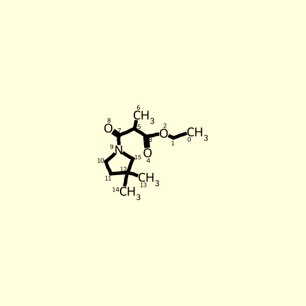 CCOC(=O)C(C)C(=O)N1CCC(C)(C)C1